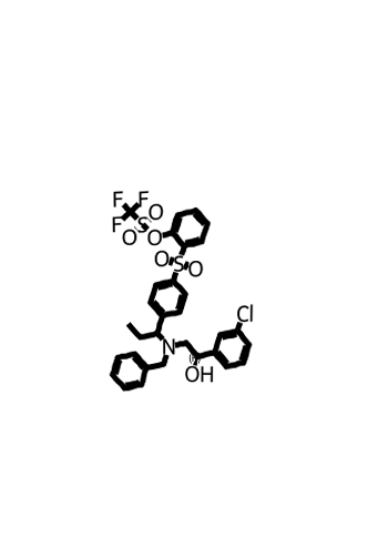 CCC(c1ccc(S(=O)(=O)c2ccccc2OS(=O)(=O)C(F)(F)F)cc1)N(Cc1ccccc1)C[C@H](O)c1cccc(Cl)c1